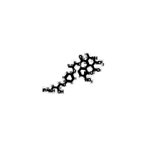 COC(=O)C1C(c2cccc([N+](=O)[O-])c2)=C(C(=O)OCC(C)Oc2ccc(OCC(O)CNC(C)C)cc2)C(C)NC1C(F)(F)F